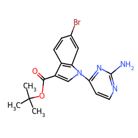 CC(C)(C)OC(=O)c1cn(-c2ccnc(N)n2)c2cc(Br)ccc12